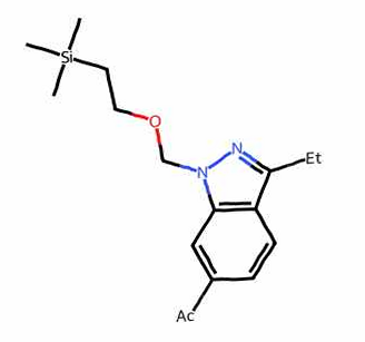 CCc1nn(COCC[Si](C)(C)C)c2cc(C(C)=O)ccc12